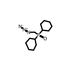 [N-]=[N+]=NCP(=O)(C1CCCCC1)C1CCCCC1